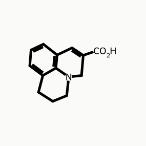 O=C(O)C1=Cc2cccc3c2N(CCC3)C1